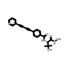 CC(C)(O)[C@H](NC(=O)c1ccc(C#CC#Cc2cccnc2)cc1)C(=O)NO